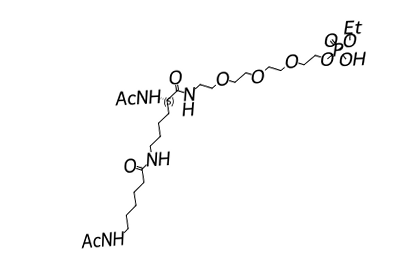 CCOP(=O)(O)OCCOCCOCCOCCNC(=O)[C@H](CCCCNC(=O)CCCCCNC(C)=O)NC(C)=O